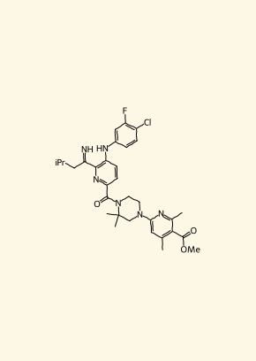 COC(=O)c1c(C)cc(N2CCN(C(=O)c3ccc(Nc4ccc(Cl)c(F)c4)c(C(=N)CC(C)C)n3)C(C)(C)C2)nc1C